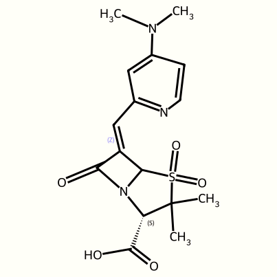 CN(C)c1ccnc(/C=C2/C(=O)N3C2S(=O)(=O)C(C)(C)[C@@H]3C(=O)O)c1